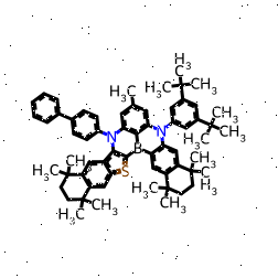 Cc1cc2c3c(c1)N(c1ccc(-c4ccccc4)cc1)c1c(sc4cc5c(cc14)C(C)(C)CCC5(C)C)B3c1cc3c(cc1N2c1cc(C(C)(C)C)cc(C(C)(C)C)c1)C(C)(C)CCC3(C)C